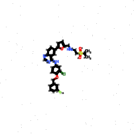 CC(C)S(=O)(=O)CCNCc1ccc(-c2ccc3ncnc(Nc4ccc(OCc5cccc(F)c5)c(Cl)c4)c3c2)o1